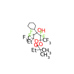 CCC(C)(C)C(=O)OC1(C(F)(F)F)OC(CC)(C(F)(F)F)C(F)(F)C(O)(C2CCCCC2)C1(F)F